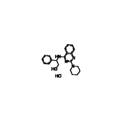 Cl.OCC(Nc1nc(N2CCCCC2)nc2ccccc12)c1ccccc1